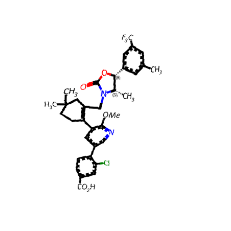 COc1ncc(-c2ccc(C(=O)O)cc2Cl)cc1C1=C(CN2C(=O)O[C@H](c3cc(C)cc(C(F)(F)F)c3)[C@@H]2C)CC(C)(C)CC1